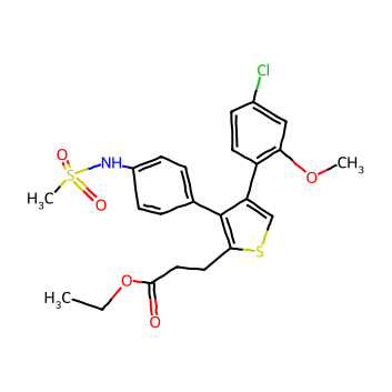 CCOC(=O)CCc1scc(-c2ccc(Cl)cc2OC)c1-c1ccc(NS(C)(=O)=O)cc1